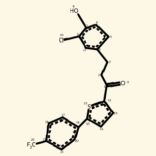 O=C(CCc1ccc(O)c(Cl)c1)c1ccc(-c2ccc(C(F)(F)F)cc2)s1